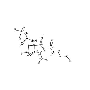 C=CCC1(NC(=O)OC(C)(C)C)C(=O)C(C(C)C)N(C(=O)OCCCC)C1=O